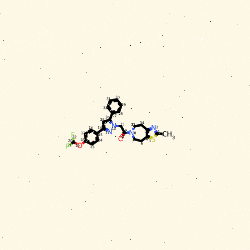 Cc1nc2c(s1)CCN(C(=O)Cn1nc(-c3ccc(OC(F)F)cc3)cc1-c1ccccc1)CC2